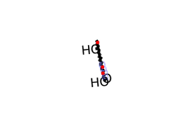 CCCCC(O)CCCCCC/C=C/C=C/C=C/C=C/C(=O)O